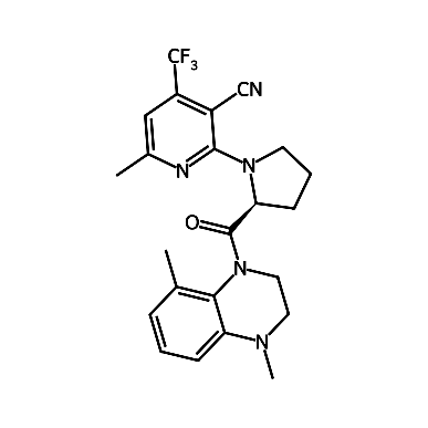 Cc1cc(C(F)(F)F)c(C#N)c(N2CCC[C@H]2C(=O)N2CCN(C)c3cccc(C)c32)n1